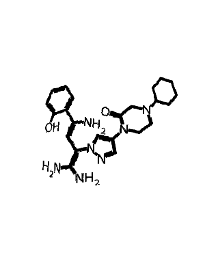 NC(N)=C(/C=C(\N)c1ccccc1O)n1cc(N2CCN(C3CCCCC3)CC2=O)cn1